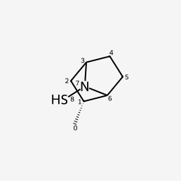 C[C@@H]1CC2CCC1N2S